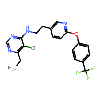 CCc1ncnc(NCCc2ccc(Oc3ccc(C(F)(F)F)cc3)nc2)c1Cl